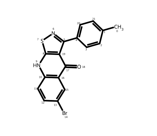 Cc1ccc(-c2nsc3[nH]c4ccc(Br)cc4c(=O)c23)cc1